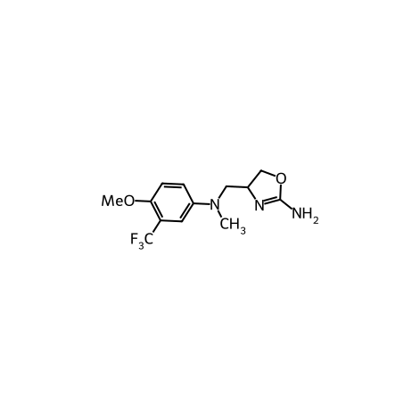 COc1ccc(N(C)CC2COC(N)=N2)cc1C(F)(F)F